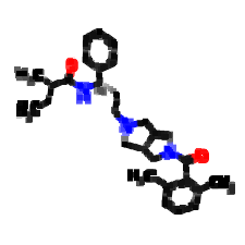 CCC(C)C(=O)N[C@@H](CCN1CC2=CN(C(=O)c3c(C)cccc3C)CC2C1)c1ccccc1